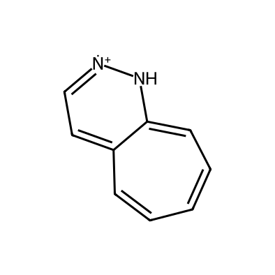 C1=CC=C2N[N+]=CC=C2C=C1